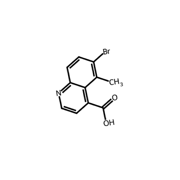 Cc1c(Br)ccc2nccc(C(=O)O)c12